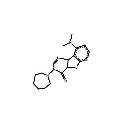 CN(C)c1ccnc2c1C1N=CN(N3CCCCCC3)C(=O)C1S2